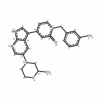 Cc1cccc(Cn2ccc(-c3c[nH]c4ncc(N5CCOC(C)C5)cc34)cc2=O)c1